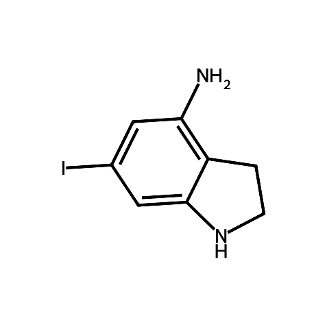 Nc1cc(I)cc2c1CCN2